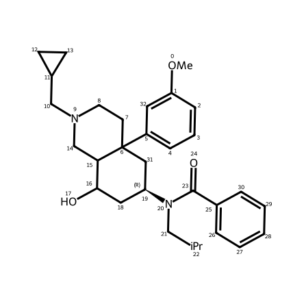 COc1cccc(C23CCN(CC4CC4)CC2C(O)C[C@H](N(CC(C)C)C(=O)c2ccccc2)C3)c1